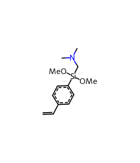 C=Cc1ccc([Si](CN(C)C)(OC)OC)cc1